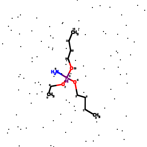 CCCCO[PH](N)(OCC)OCCCC